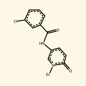 CCn1cc(NC(=O)c2cccc(Cl)c2)ccc1=O